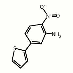 Nc1cc(-c2cccs2)ccc1[N+](=O)[O-]